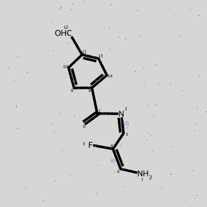 C=C(/N=C\C(F)=C/N)c1ccc(C=O)cc1